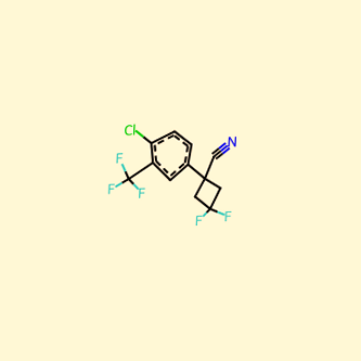 N#CC1(c2ccc(Cl)c(C(F)(F)F)c2)CC(F)(F)C1